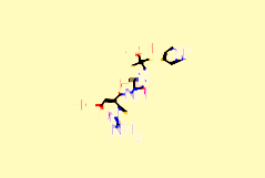 C[n+]1ccc(SCC2(C(=O)O)CS[C@@H]3C(NC(=O)C(=CC(=O)O)c4csc(N)n4)C(=O)N3C2)cc1